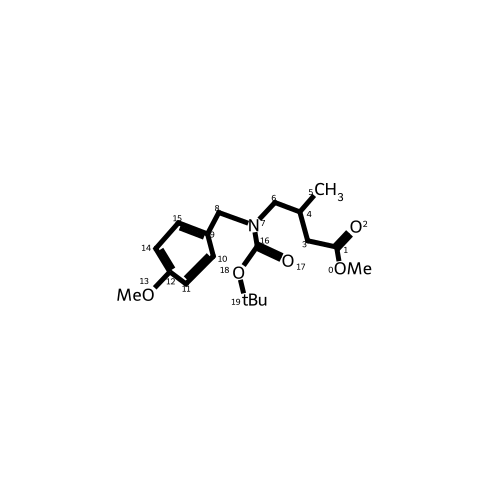 COC(=O)CC(C)CN(Cc1ccc(OC)cc1)C(=O)OC(C)(C)C